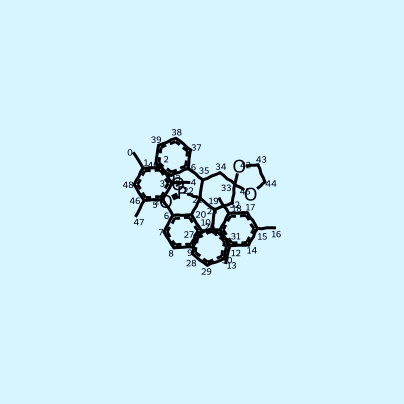 Cc1cc(C)c(-c2cccc(-c3c(C)cc(C)cc3C)c2C2(P(=O)=O)C(c3ccccc3)CC3(CC2c2ccccc2)OCCO3)c(C)c1